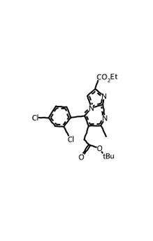 CCOC(=O)c1cn2c(-c3ccc(Cl)cc3Cl)c(CC(=O)OC(C)(C)C)c(C)nc2n1